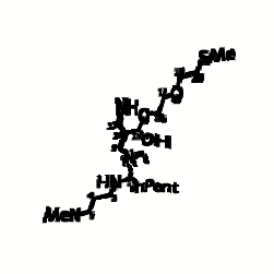 CCCCC[C@@H](NCCCNC)N(C)/C=C(/C=N)[C@@H](O)OCCOCCSC